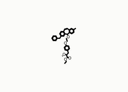 CCOC(=O)C(Cc1ccc(OCCOC2c3ccc(C)cc3C=Cc3ccc(Cc4ccccc4)cc32)cc1)OC